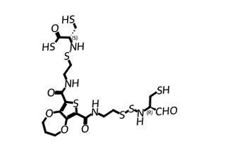 O=C[C@H](CS)NSSCCNC(=O)c1sc(C(=O)NCCSN[C@@H](CS)C(=O)S)c2c1OCCCO2